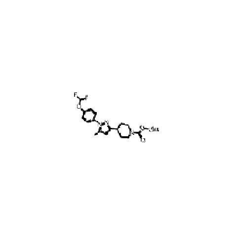 Cc1cc(C2CCN(C(=O)OC(C)(C)C)CC2)nn1-c1ccc(OC(F)F)cc1